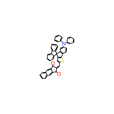 O=C1C(=Cc2cc3c(s2)-c2ccc(N(c4ccccc4)c4ccccc4)cc2C32c3ccccc3-c3ccccc32)C(=O)c2cc3ccccc3cc21